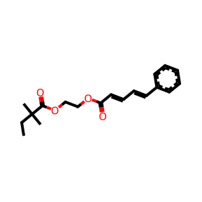 CCC(C)(C)C(=O)OCCOC(=O)/C=C/C=C/c1ccccc1